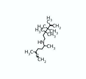 C=C=C(C)CCC(C)NCCC(C)(C)C(C)(C)C(=C)C